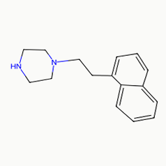 c1ccc2c(CCN3CCNCC3)cccc2c1